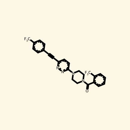 O=C(c1ccccc1C(F)(F)F)N1CCN(c2ccc(C#Cc3ccc(C(F)(F)F)cc3)nn2)CC1